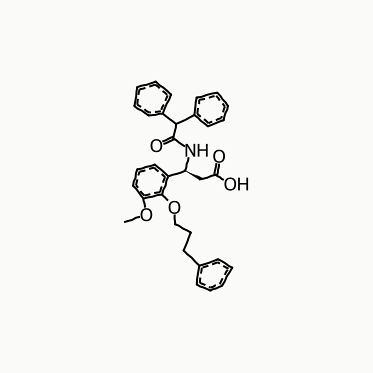 COc1cccc([C@H](CC(=O)O)NC(=O)C(c2ccccc2)c2ccccc2)c1OCCCc1ccccc1